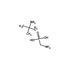 CC(C)(C)N.NCP(=O)(O)O